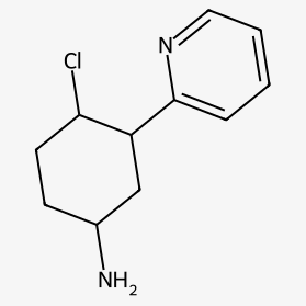 NC1CCC(Cl)C(c2ccccn2)C1